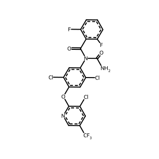 NC(=O)N(C(=O)c1c(F)cccc1F)c1cc(Cl)c(Oc2ncc(C(F)(F)F)cc2Cl)cc1Cl